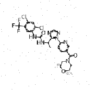 CC(NC(=O)Nc1cc(C(F)(F)F)c(Cl)cc1Cl)c1ncnn1-c1ccc(C(=O)N2C[C@@H](C)O[C@@H](C)C2)cn1